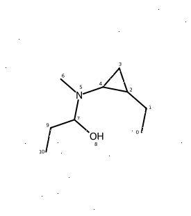 CCC1CC1N(C)C(O)CC